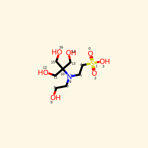 O=S(=O)(O)CCN(CCO)C(CO)(CO)CO